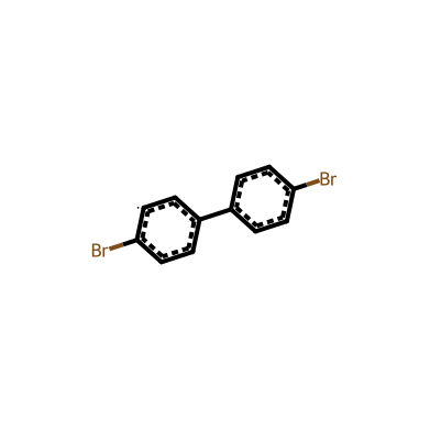 Brc1[c]cc(-c2ccc(Br)cc2)cc1